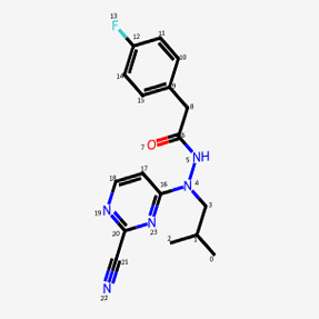 CC(C)CN(NC(=O)Cc1ccc(F)cc1)c1ccnc(C#N)n1